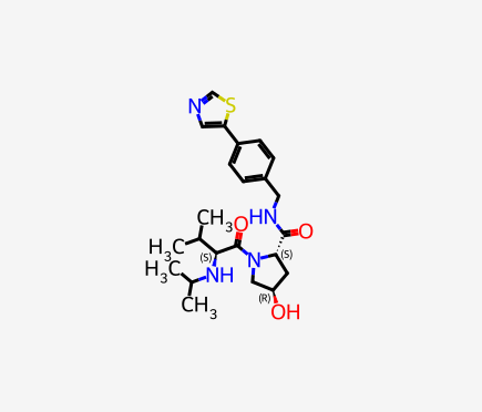 CC(C)N[C@H](C(=O)N1C[C@H](O)C[C@H]1C(=O)NCc1ccc(-c2cncs2)cc1)C(C)C